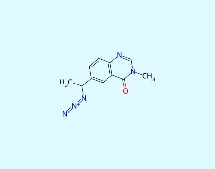 CC(N=[N+]=[N-])c1ccc2ncn(C)c(=O)c2c1